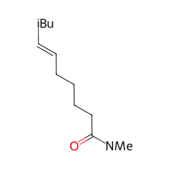 [CH2]NC(=O)CCCCC=CC(C)CC